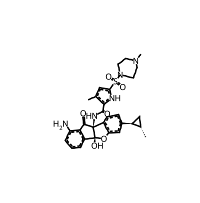 Cc1cc(S(=O)(=O)N2CCN(C)CC2)[nH]c1C(=O)N[C@]12C(=O)c3c(N)cccc3[C@@]1(O)Oc1cc([C@H]3C[C@@H]3C)ccc12